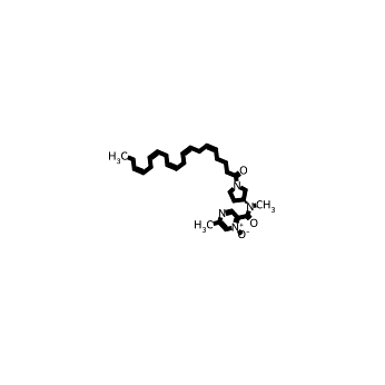 CC/C=C\C/C=C\C/C=C\C/C=C\C/C=C\CCCC(=O)N1CC[C@H](N(C)C(=O)c2cnc(C)c[n+]2[O-])C1